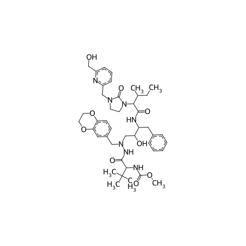 CCC(C)C(C(=O)NC(Cc1ccccc1)C(O)CN(Cc1ccc2c(c1)OCCO2)NC(=O)C(NC(=O)OC)C(C)(C)C)N1CCN(Cc2cccc(CO)n2)C1=O